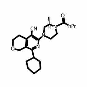 CCCC(=O)N1CCN(c2nc(C3CCCCC3)c3c(c2C#N)CCOC3)C[C@H]1C